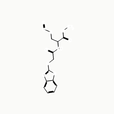 COC(=O)C(CSN=O)NC(=O)CSc1nc2ccccc2o1